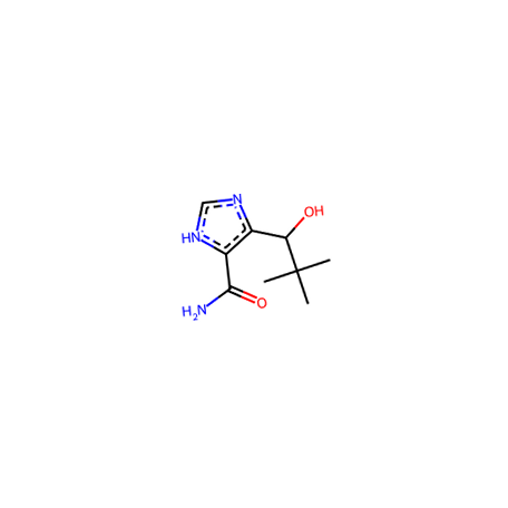 CC(C)(C)C(O)c1nc[nH]c1C(N)=O